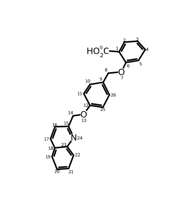 O=C(O)c1ccccc1OCc1ccc(OCc2ccc3ccccc3n2)cc1